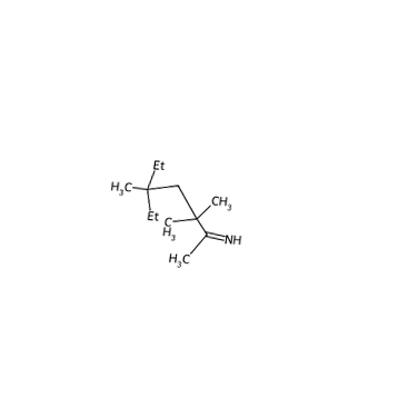 CCC(C)(CC)CC(C)(C)C(C)=N